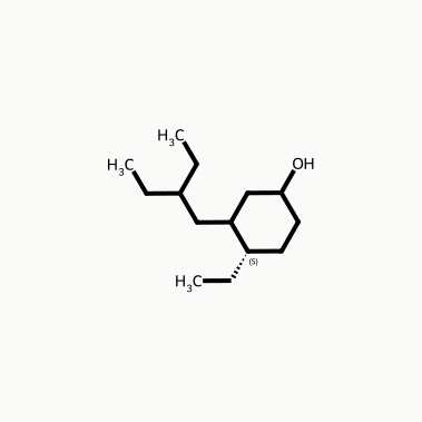 CCC(CC)CC1CC(O)CC[C@@H]1CC